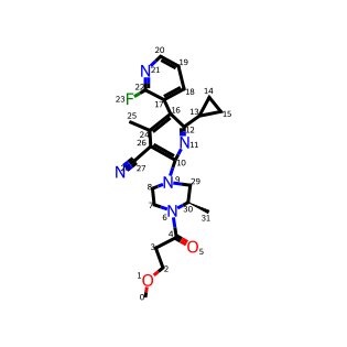 COCCC(=O)N1CCN(c2nc(C3CC3)c(-c3cccnc3F)c(C)c2C#N)C[C@H]1C